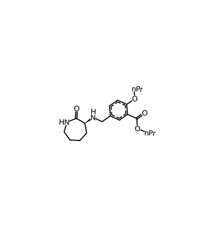 CCCOC(=O)c1cc(CN[C@H]2CCCCNC2=O)ccc1OCCC